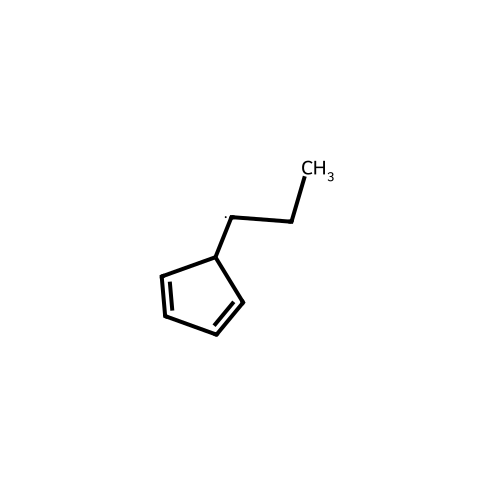 CC[CH]C1C=CC=C1